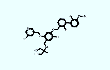 CCCCOc1cccc(-c2cccc(COc3cc(OCc4cncc(C#N)c4)c(CNC(C)(CO)CO)cc3Cl)c2Cl)c1Cl